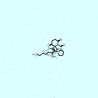 COC(OC)[C@@]1(C(C)C)C(=O)CCC(=O)N1C(=O)[C@@H]1CCCN1C(=O)[C@@H](N)CCCCN